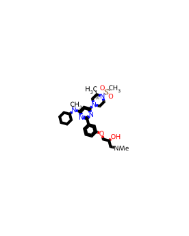 CNCC(O)COc1cccc(-c2nc(N3CCN(S(C)(=O)=O)[C@@H](C)C3)cc(N(C)C3CCCCC3)n2)c1